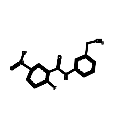 CCc1cccc(NC(=O)c2cc([N+](=O)[O-])ccc2F)c1